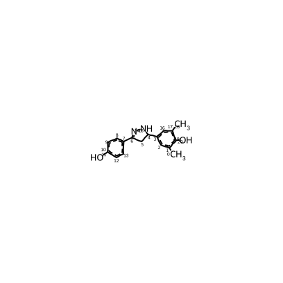 Cc1cc(C2CC(c3ccc(O)cc3)=NN2)cc(C)c1O